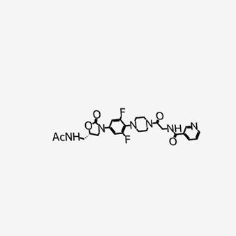 CC(=O)NC[C@H]1CN(c2cc(F)c(N3CCN(C(=O)CNC(=O)c4cccnc4)CC3)c(F)c2)C(=O)O1